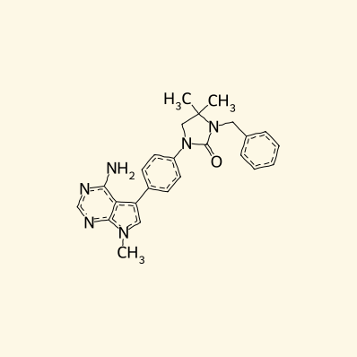 Cn1cc(-c2ccc(N3CC(C)(C)N(Cc4ccccc4)C3=O)cc2)c2c(N)ncnc21